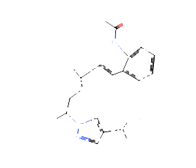 CC(=O)Nc1ccccc1/C=C/C(C)CCC(C)n1cc(C(C)C)cn1